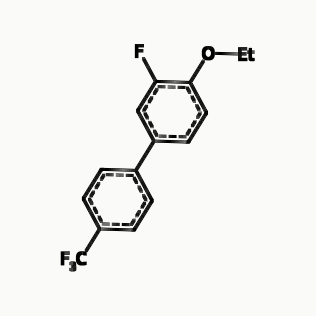 CCOc1ccc(-c2ccc(C(F)(F)F)cc2)cc1F